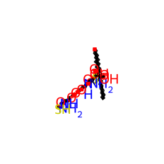 CCCCCCCCCCC(C[C@@H](CSC[C@H](N)C(=O)NCCCOCCOCCOCCCNC(=O)C(N)CS)C(CCCCCCCCCC)C(=O)O)C(=O)O